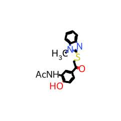 CC(=O)Nc1cc(C(=O)CSc2nc3ccccc3n2C)ccc1O